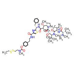 CCSSCCN(C)C(=O)Oc1ccc(CCNC(=O)c2csc([C@H](Cc3ccccc3)NC(=O)[C@H](C)[C@@H](OC)[C@@H]3CCCN3C(=O)C[C@@H](OC)[C@H]([C@@H](C)CC)N(C)C(=O)[C@@H](NC(=O)[C@H](C(C)C)N(C)C)C(C)C)n2)cc1